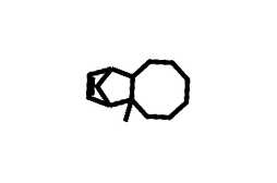 CC12CCCCCCC1C1C=CC2C1